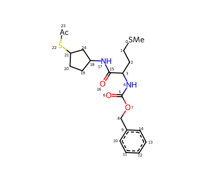 CSCCC(NC(=O)OCc1ccccc1)C(=O)NC1CCC(SC(C)=O)C1